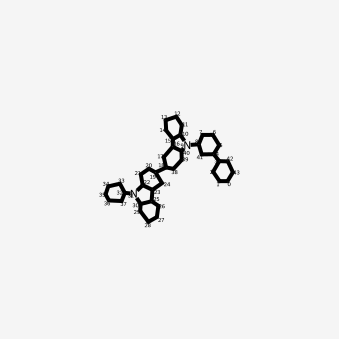 C1CCC(C2CCCC(N3C4CCCCC4C4CC(C5CCC6C(C5)C5CCCCC5N6C5CCCCC5)CCC43)C2)CC1